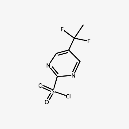 CC(F)(F)c1cnc(S(=O)(=O)Cl)nc1